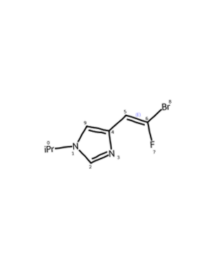 CC(C)n1cnc(/C=C(\F)Br)c1